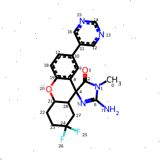 CN1C(=O)C2(N=C1N)c1cc(-c3cncnc3)ccc1OC1CCC(F)(F)CC12